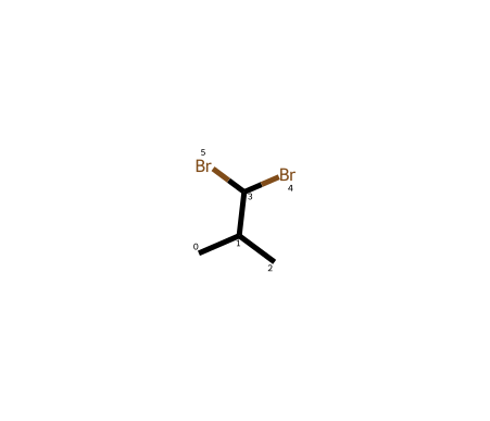 CC(C)C(Br)Br